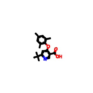 Cc1cc(C)c(Oc2cc(C(C)(C)C)ncc2C(=O)O)c(C)c1